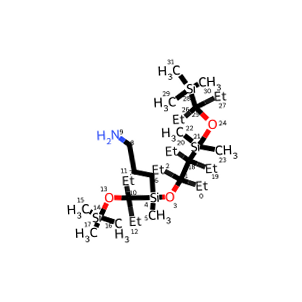 CCC(CC)(O[Si](C)(CCCN)C(CC)(CC)O[Si](C)(C)C)C(CC)(CC)[Si](C)(C)OC(CC)(CC)[Si](C)(C)C